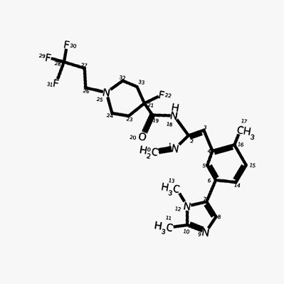 C=N/C(=C\c1cc(-c2cnc(C)n2C)ccc1C)NC(=O)C1(F)CCN(CCC(F)(F)F)CC1